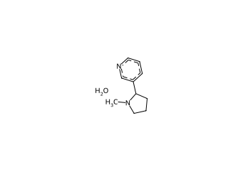 CN1CCCC1c1cccnc1.O